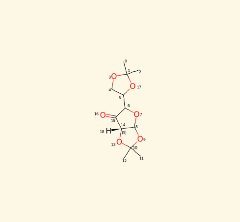 CC1(C)OCC(C2OC3OC(C)(C)O[C@@H]3C2=O)O1